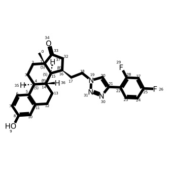 C[C@]12CC[C@@H]3c4ccc(O)cc4CC[C@H]3[C@@H]1[C@H](CCn1cc(-c3ccc(F)cc3F)nn1)CC2=O